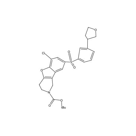 CC(C)(C)OC(=O)N1CCc2oc3c(Cl)cc(S(=O)(=O)c4cccc(C5CCOC5)c4)cc3c2C1